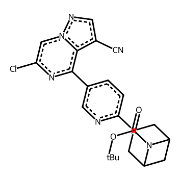 CC(C)(C)OC(=O)N1C2CC1CN(c1ccc(-c3nc(Cl)cn4ncc(C#N)c34)cn1)C2